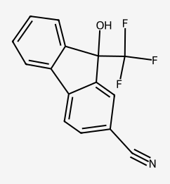 N#Cc1ccc2c(c1)C(O)(C(F)(F)F)c1ccccc1-2